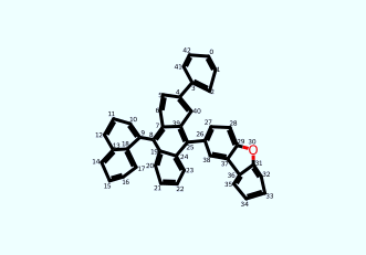 c1ccc(-c2ccc3c(-c4cccc5ccccc45)c4ccccc4c(-c4ccc5oc6ccccc6c5c4)c3c2)cc1